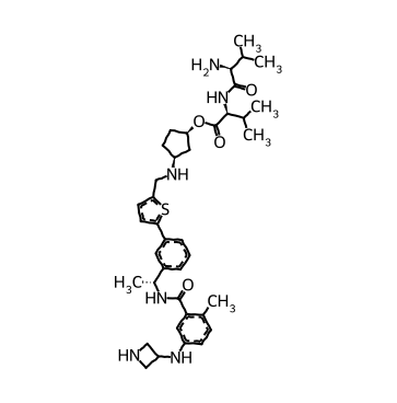 Cc1ccc(NC2CNC2)cc1C(=O)N[C@H](C)c1cccc(-c2ccc(CN[C@H]3CC[C@@H](OC(=O)[C@@H](NC(=O)[C@@H](N)C(C)C)C(C)C)C3)s2)c1